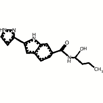 CCCC(O)NC(=O)c1ccc2cc(-c3cc[nH]n3)[nH]c2c1